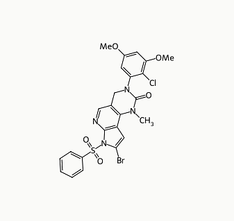 COc1cc(OC)c(Cl)c(N2Cc3cnc4c(cc(Br)n4S(=O)(=O)c4ccccc4)c3N(C)C2=O)c1